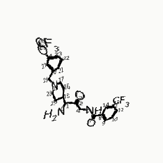 NC(C(=O)CNC(=O)c1cccc(C(F)(F)F)c1)C1CCN(Cc2cccc(OC(F)(F)F)c2)CC1